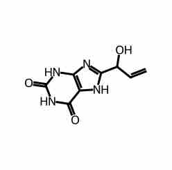 C=CC(O)c1nc2[nH]c(=O)[nH]c(=O)c2[nH]1